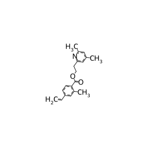 C=Cc1ccc(C(=O)OCCc2cc(C)cc(C)n2)c(C)c1